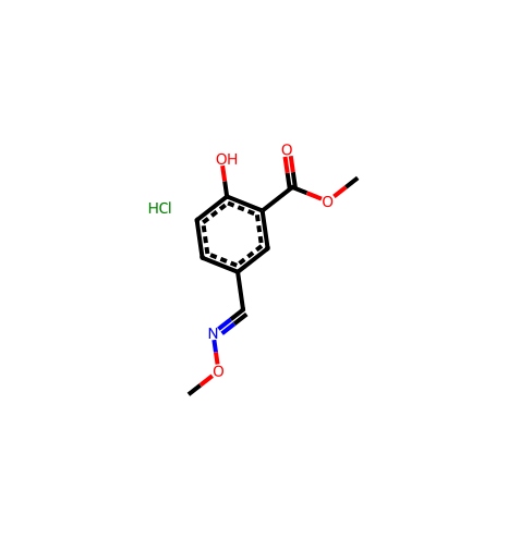 CO/N=C/c1ccc(O)c(C(=O)OC)c1.Cl